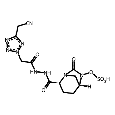 N#CCc1nnn(CC(=O)NNC(=O)[C@@H]2CC[C@@H]3CN2C(=O)N3OS(=O)(=O)O)n1